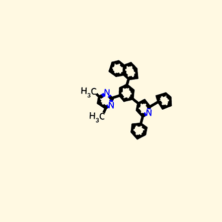 Cc1cc(C)nc(-c2cc(-c3cc(-c4ccccc4)nc(-c4ccccc4)c3)cc(-c3cccc4ccccc34)c2)n1